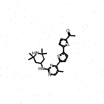 CC(=O)c1ccc(-c2ccc(-c3nc(NC4CC(C)(C)NC(C)(C)C4)ncc3C)s2)s1